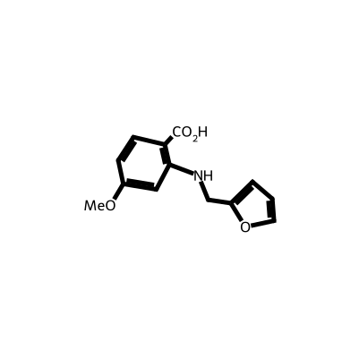 COc1ccc(C(=O)O)c(NCc2ccco2)c1